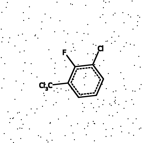 Fc1c(Cl)cccc1C(Cl)(Cl)Cl